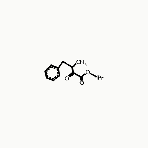 CC(C)OC(=O)C(=O)C(C)Cc1ccccc1